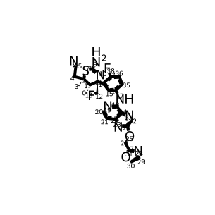 C[C@@H]1[C@@](C)(CC#N)SC(N)=N[C@]1(CF)c1cc(Nc2nccc3nc(OCc4ncco4)cnc23)ccc1F